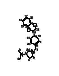 CN(C)C1CCN(CC2=CCC([C@H]3COc4ccccc4O3)C=C2)C1